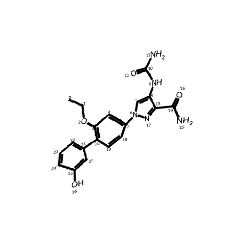 CCOc1cc(-n2cc(NC(N)=O)c(C(N)=O)n2)ccc1-c1cccc(O)c1